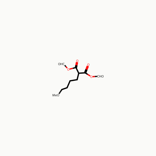 COCCCCC(C(=O)OC=O)C(=O)OC=O